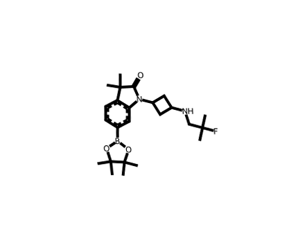 CC(C)(F)CNC1CC(N2C(=O)C(C)(C)c3ccc(B4OC(C)(C)C(C)(C)O4)cc32)C1